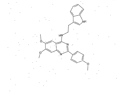 COc1ccc(-c2nc(NCCc3c[nH]c4ccccc34)c3cc(OC)c(OC)cc3n2)cc1